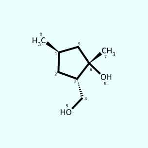 C[C@@H]1C[C@@H](CO)[C@@](C)(O)C1